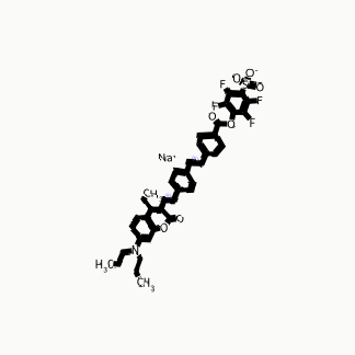 CCCN(CCC)c1ccc2c(CC)c(/C=C/c3ccc(/C=C/c4ccc(C(=O)Oc5c(F)c(F)c(S(=O)(=O)[O-])c(F)c5F)cc4)cc3)c(=O)oc2c1.[Na+]